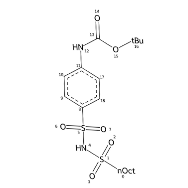 CCCCCCCCS(=O)(=O)NS(=O)(=O)c1ccc(NC(=O)OC(C)(C)C)cc1